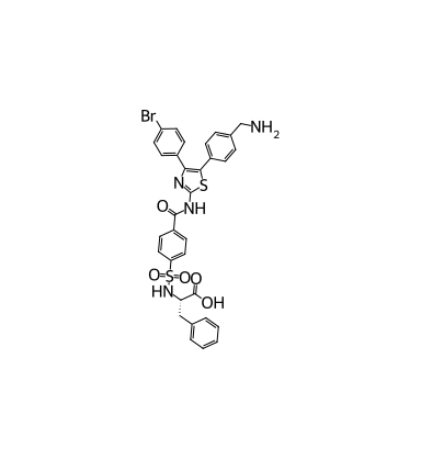 NCc1ccc(-c2sc(NC(=O)c3ccc(S(=O)(=O)N[C@@H](Cc4ccccc4)C(=O)O)cc3)nc2-c2ccc(Br)cc2)cc1